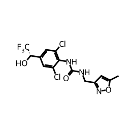 Cc1cc(CNC(=O)Nc2c(Cl)cc([C@H](O)C(F)(F)F)cc2Cl)no1